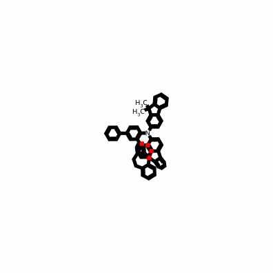 CC1(C)c2ccccc2-c2ccc(N(c3ccc4c(c3)C3(c5ccccc5CCc5ccccc53)c3ccccc3-4)c3ccc(-c4ccccc4)cc3-c3ccccc3)cc21